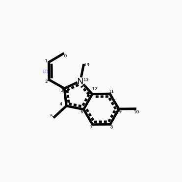 C/C=C\c1c(C)c2ccc(C)cc2n1C